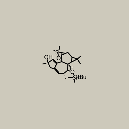 C[C@@H]1C=C2C[C@](C)(O)C=C2C2(O[Si](C)(C)C)[C@@H](C1O[Si](C)(C)C(C)(C)C)C1C(C[C@H]2C)C1(C)C